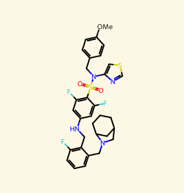 COc1ccc(CN(c2cscn2)S(=O)(=O)c2c(F)cc(NCc3c(F)cccc3CN3CC4CCCC3C4)cc2F)cc1